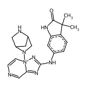 CC1(C)C(=O)Nc2cc(NC3=N[N+]4(N5CC6CC5CN6)C=CN=CC4=N3)ccc21